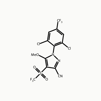 COc1c(S(=O)(=O)C(F)(F)F)c(C#N)nn1-c1c(Cl)cc(C(F)(F)F)cc1Cl